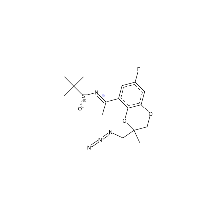 C/C(=N\[S@+]([O-])C(C)(C)C)c1cc(F)cc2c1OC(C)(CN=[N+]=[N-])CO2